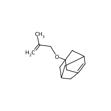 C=C(C)COC12CC3=CC(CC(C3)C1)C2